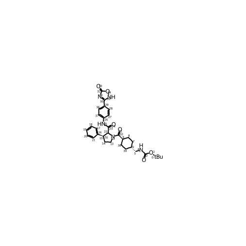 CC(C)(C)OC(=O)NC[C@H]1CC[C@H](C(=O)N2CC[C@@H](c3ccccc3)C2C(=O)Nc2ccc(-c3nc(=O)o[nH]3)cc2)CC1